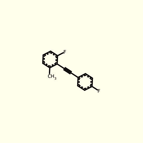 Cc1cccc(F)c1C#Cc1ccc(F)cc1